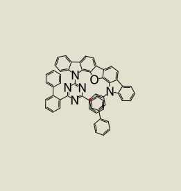 c1ccc(-c2cccc(-n3c4ccccc4c4ccc5c6ccc7c8ccccc8n(-c8nc(-c9ccccc9)nc(-c9ccccc9-c9ccccc9)n8)c7c6oc5c43)c2)cc1